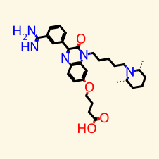 C[C@@H]1CCC[C@H](C)N1CCCCCn1c(=O)c(-c2cccc(C(=N)N)c2)nc2ccc(OCCCC(=O)O)cc21